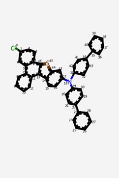 Clc1ccc2c(c1)c1ccccc1c1c3ccc(N(c4ccc(-c5ccccc5)cc4)c4ccc(-c5ccccc5)cc4)cc3sc21